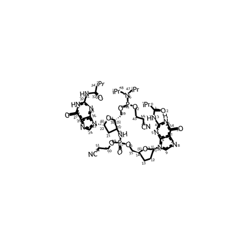 CC(C)C(=O)Nc1nc2c(ncn2[C@H]2CC[C@@H](COP(=O)(NC3C[C@H](n4cnc5c(=O)[nH]c(NC(=O)C(C)C)nc54)O[C@@H]3COP(OCCC#N)N(C(C)C)C(C)C)OCCC#N)O2)c(=O)[nH]1